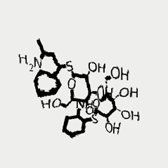 CC(N)CC(S[C@@H]1O[C@H](CO)[C@H](O[C@]2(SC3CCCCC3N)O[C@H](CO)[C@H](O)[C@H](O)[C@H]2O)[C@H](O)[C@H]1O)c1ccccc1